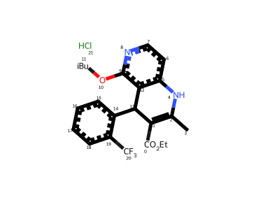 CCOC(=O)C1=C(C)Nc2ccnc(OC(C)CC)c2C1c1ccccc1C(F)(F)F.Cl